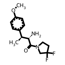 COc1ccc([C@H](C)[C@H](N)C(=O)N2CCC(F)(F)C2)cc1